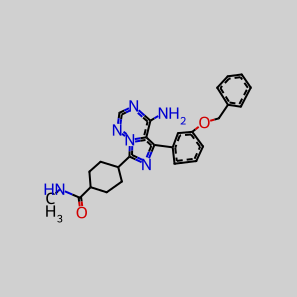 CNC(=O)C1CCC(c2nc(-c3cccc(OCc4ccccc4)c3)c3c(N)ncnn23)CC1